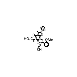 COc1ccccc1[C@H](Cn1c(=O)n(C(C)C(=O)O)c(=O)c2c(C)c(-n3nccn3)sc21)OCCC#N